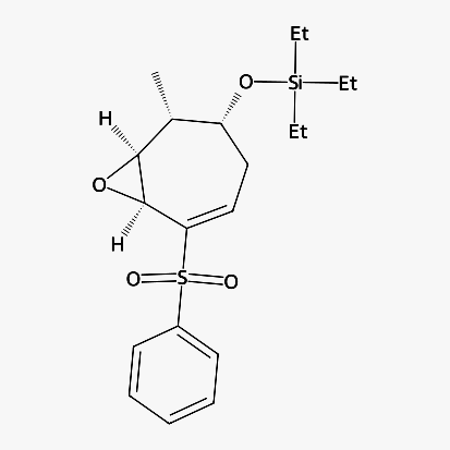 CC[Si](CC)(CC)O[C@@H]1CC=C(S(=O)(=O)c2ccccc2)[C@H]2O[C@H]2[C@@H]1C